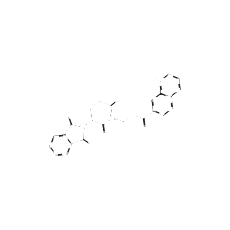 O=C(OCN1C(=O)CCC(N2C(=O)c3ccccc3C2=O)C1=O)c1ccc2cccnc2c1